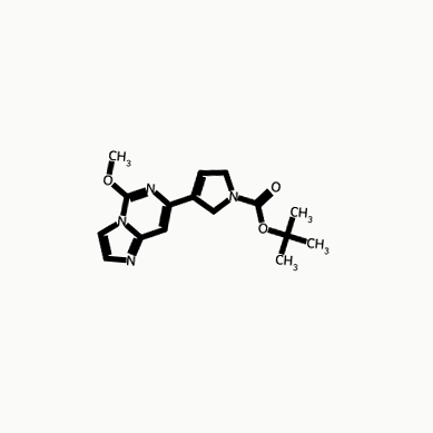 COc1nc(C2=CCN(C(=O)OC(C)(C)C)C2)cc2nccn12